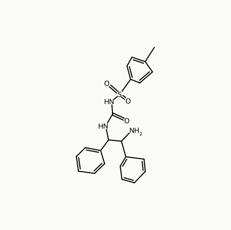 Cc1ccc(S(=O)(=O)NC(=O)NC(c2ccccc2)C(N)c2ccccc2)cc1